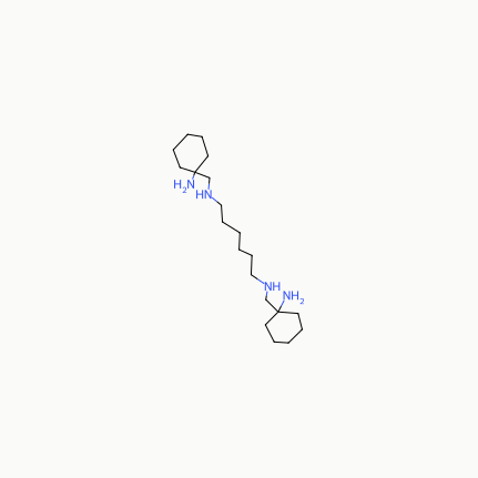 NC1(CNCCCCCCNCC2(N)CCCCC2)CCCCC1